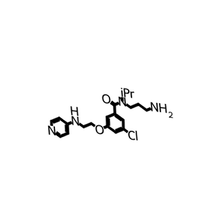 CC(C)N(CCCN)C(=O)c1cc(Cl)cc(OCCNc2ccncc2)c1